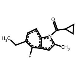 CCc1ccc2c(cc(C)n2C(=O)C2CC2)c1F